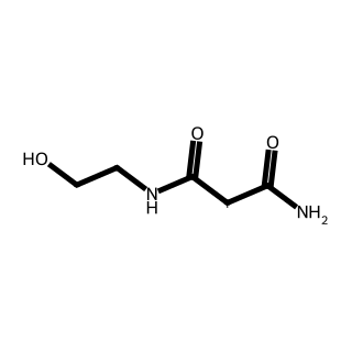 NC(=O)[CH]C(=O)NCCO